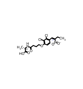 CC/C(=C/c1ccc(OCCCC(=O)N[C@@H](C)C(=O)O)c(Cl)c1Cl)[N+](=O)[O-]